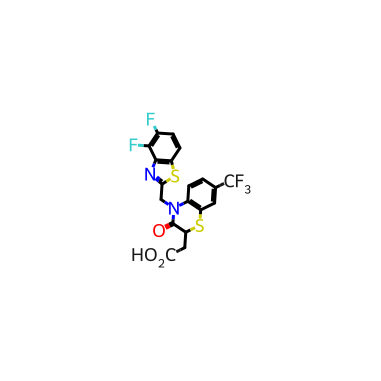 O=C(O)CC1Sc2cc(C(F)(F)F)ccc2N(Cc2nc3c(F)c(F)ccc3s2)C1=O